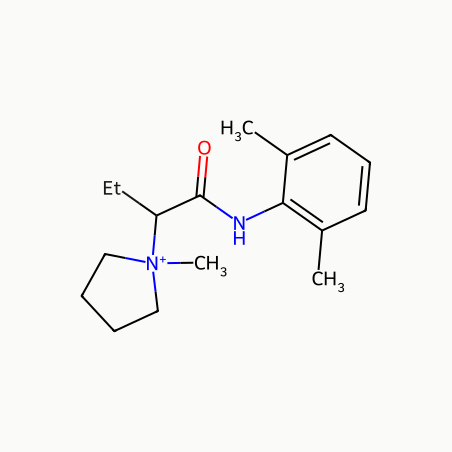 CCC(C(=O)Nc1c(C)cccc1C)[N+]1(C)CCCC1